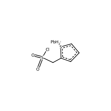 O=S(=O)(Cl)Cc1cccs1.[PbH2]